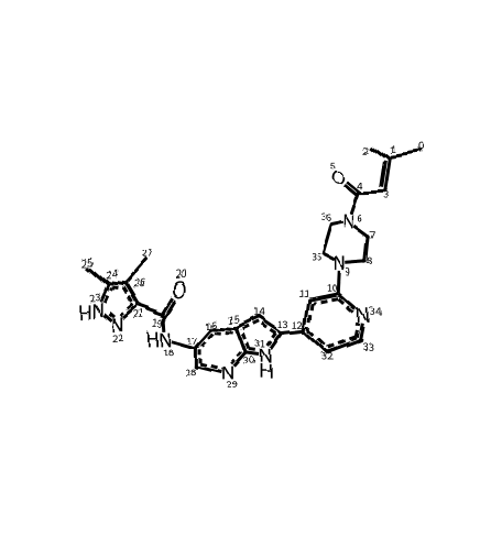 CC(C)=CC(=O)N1CCN(c2cc(-c3cc4cc(NC(=O)c5n[nH]c(C)c5C)cnc4[nH]3)ccn2)CC1